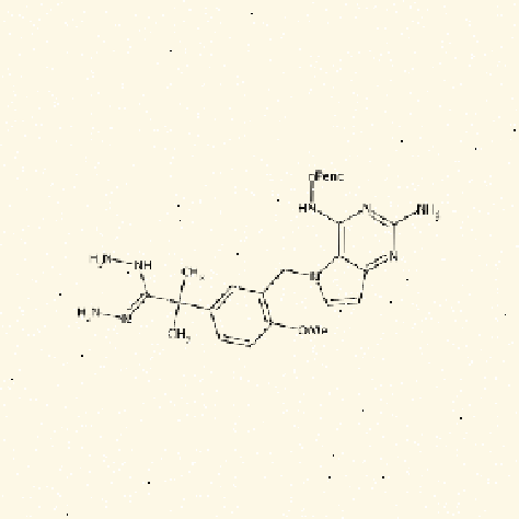 CCCCCNc1nc(N)nc2ccn(Cc3cc(C(C)(C)/C(=N/N)NN)ccc3OC)c12